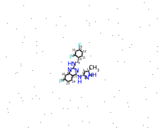 Cc1cc(Nc2nc(NCc3ccc(F)cc3F)nc3cc(F)ccc23)n[nH]1